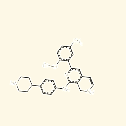 CCOc1ccc(C)cc1-c1cc2c(c(Nc3ccc(C4CCNCC4)cc3)n1)CNC=C2